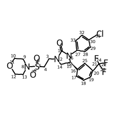 O=C1N(CCS(=O)(=O)N2CCOCC2)C[C@H](c2cccc(C(F)(F)F)c2)N1c1ccc(Cl)cc1